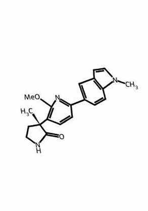 COc1nc(-c2ccc3c(ccn3C)c2)ccc1[C@@]1(C)CCNC1=O